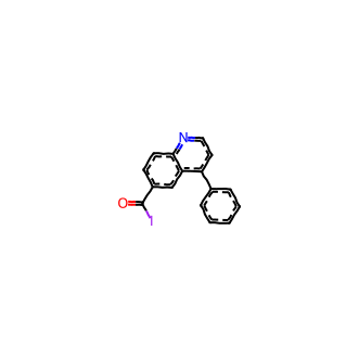 O=C(I)c1ccc2nccc(-c3ccccc3)c2c1